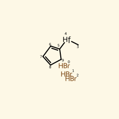 Br.Br.Br.[CH3][Hf][C]1=CC=CC1